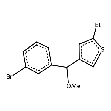 CCc1cc(C(OC)c2cccc(Br)c2)cs1